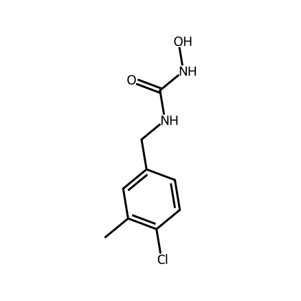 Cc1cc(CNC(=O)NO)ccc1Cl